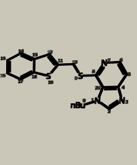 CCCCn1cnc2ccnc(SCc3cc4ccccc4s3)c21